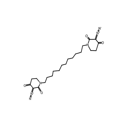 [N-]=[N+]=C1C(=O)CCN(CCCCCCCCCCCCN2CCC(=O)C(=[N+]=[N-])C2=O)C1=O